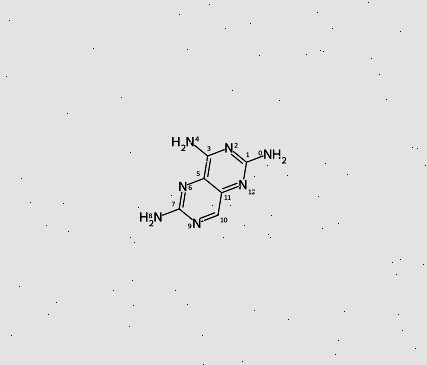 Nc1nc(N)c2nc(N)ncc2n1